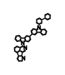 c1ccc(-c2cccc(-n3c4ccccc4c4cc(-c5ccc6c(c5)c5ccccc5n6-c5ncc6c7c(cccc57)-c5cccnc5-6)ccc43)c2)cc1